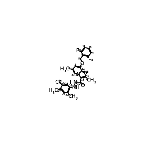 Cc1cc(OCc2c(F)cccc2F)c2nc(C)c(C(=O)NNc3cc(Cl)c(C)cc3C)n2c1